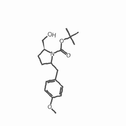 COc1ccc(CC2CC[C@@H](CO)N2C(=O)OC(C)(C)C)cc1